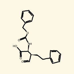 O=C[C@H](CCc1ccccc1)[C@H](NC(=O)OCc1ccccc1)C(=O)O